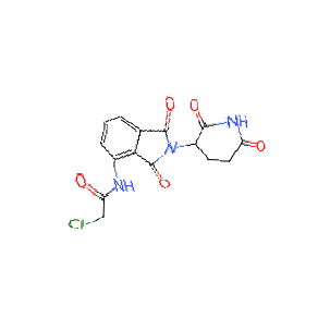 O=C1CCC(N2C(=O)c3cccc(NC(=O)CCl)c3C2=O)C(=O)N1